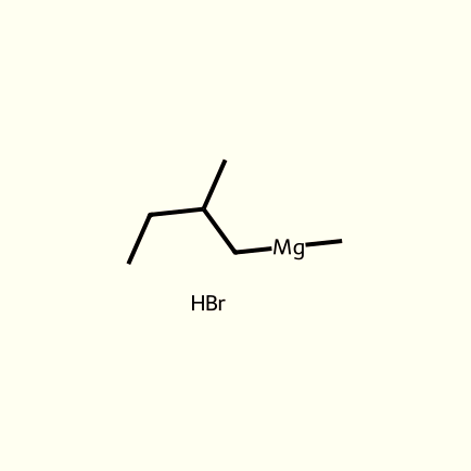 Br.CCC(C)[CH2][Mg][CH3]